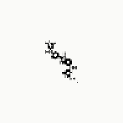 Cc1cc(Nc2ccc(-c3nc4cc(Nc5cc(C)nc(N)n5)ccc4[nH]3)cc2)cc(C)n1